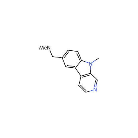 CNCc1ccc2c(c1)c1ccncc1n2C